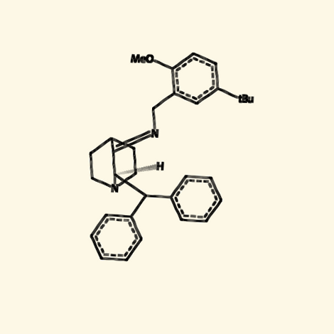 COc1ccc(C(C)(C)C)cc1CN=C1C2CCN(CC2)[C@@H]1C(c1ccccc1)c1ccccc1